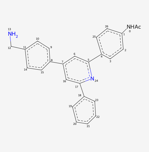 CC(=O)Nc1ccc(-c2cc(-c3ccc(CN)cc3)cc(-c3ccccc3)n2)cc1